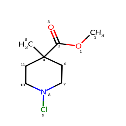 COC(=O)C1(C)CCN(Cl)CC1